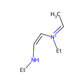 C/C=[N+](\C=C/NCC)CC